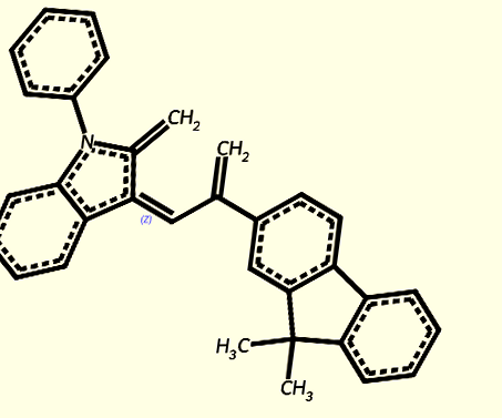 C=C(/C=c1\c(=C)n(-c2ccccc2)c2ccccc12)c1ccc2c(c1)C(C)(C)c1ccccc1-2